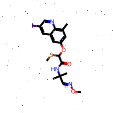 CO/N=C/C(C)(C)NC(=O)C(Oc1cc(C)c2ncc(I)cc2c1)SC